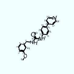 COc1cccc(CNC(=O)Nc2ccc(-c3ccncc3)cc2)c1